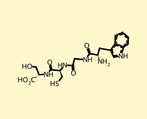 N[C@@H](Cc1c[nH]c2ccccc12)C(=O)NCC(=O)N[C@@H](CS)C(=O)N[C@@H](CO)C(=O)O